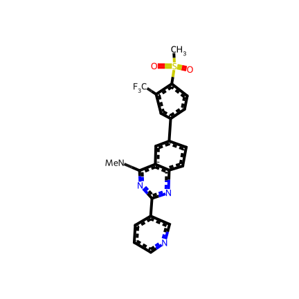 CNc1nc(-c2cccnc2)nc2ccc(-c3ccc(S(C)(=O)=O)c(C(F)(F)F)c3)cc12